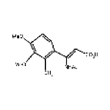 COc1ccc(C(=CC(=O)O)NC(C)=O)c(C)c1OC